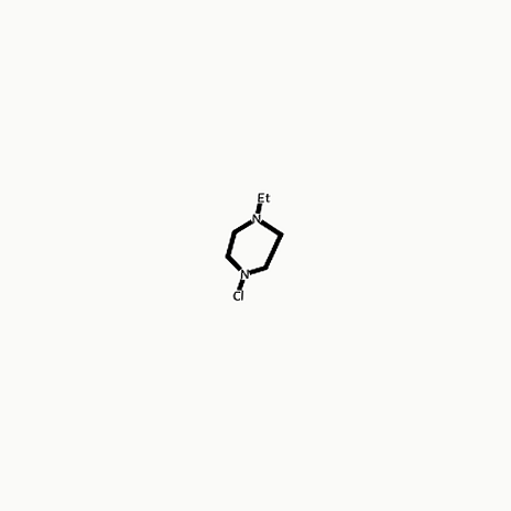 [CH2]CN1CCN(Cl)CC1